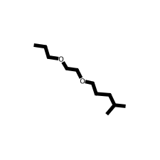 CCCOCCOCCCC(C)C